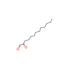 CCCCCCCCCCCC(=O)[C]=O